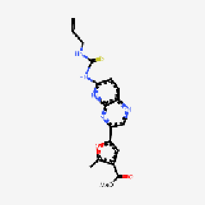 C=CCNC(=S)Nc1ccc2ncc(-c3cc(C(=O)OC)c(C)o3)nc2n1